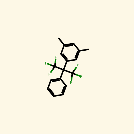 Cc1cc(C)cc(C(c2ccccc2)(C(F)(F)F)C(F)(F)F)c1